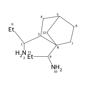 CCC(N)C1CC2CCC1(C(N)CC)C2